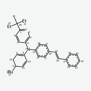 C=C(/C=C\C(=C/C)N(C1=CCC(C(C)CC)C=C1)c1ccc(C=Cc2ccccc2)cc1)C(C)(CC)CC